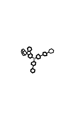 c1ccc(-c2ccc(N(c3ccc(-c4ccc(C5CCCCC5)cc4)cc3)c3ccc4c(c3)-c3ccccc3C43C4CC5CC(C4)CC3C5)cc2)cc1